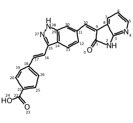 O=C1Nc2ncccc2C1=Cc1ccc2c(/C=C/c3ccc(C(=O)O)cc3)n[nH]c2c1